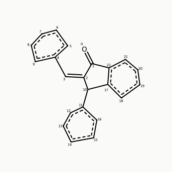 O=C1C(=Cc2ccccc2)C(c2ccccc2)c2ccccc21